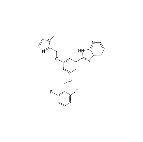 Cn1ccnc1COc1cc(OCc2c(F)cccc2F)cc(-c2nc3cccnc3[nH]2)c1